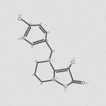 O=c1on2c(c1Cl)N(Cc1ccc(Cl)nc1)CCC2